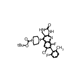 Cc1cccc(F)c1-c1c(Cl)cc2c(N3CCN(C(=O)OC(C)(C)C)CC3)c3c(nc2c1F)NC(=O)NC3